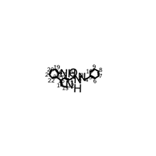 O=C(NN=Cc1ccccc1)c1nccc2c1[nH]c1ccccc12